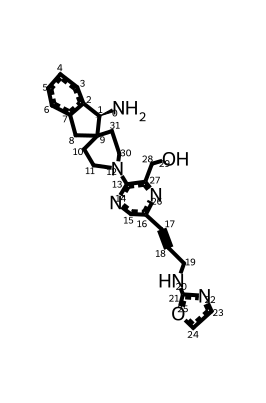 N[C@@H]1c2ccccc2CC12CCN(c1ncc(C#CCNc3ncco3)nc1CO)CC2